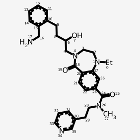 CCN1CCN(CC(O)CCc2ccccc2CN)C(=O)c2ccc(C(=O)N(C)CCc3cccnc3)cc21